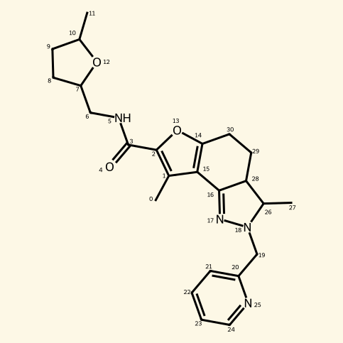 Cc1c(C(=O)NCC2CCC(C)O2)oc2c1C1=NN(Cc3ccccn3)C(C)C1CC2